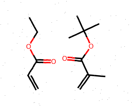 C=C(C)C(=O)OC(C)(C)C.C=CC(=O)OCC